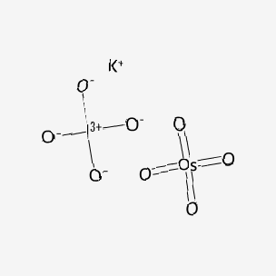 [K+].[O-][I+3]([O-])([O-])[O-].[O]=[Os](=[O])(=[O])=[O]